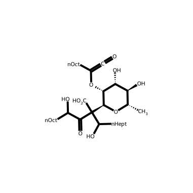 CCCCCCCCC(=C=O)O[C@@H]1[C@H](O)[C@@H](O)[C@H](C)O[C@H]1C(C(=O)O)(C(=O)C(O)CCCCCCCC)C(O)CCCCCCC